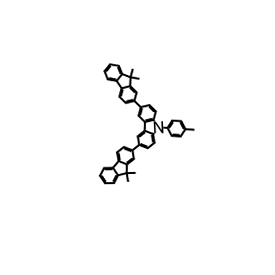 Cc1ccc(-n2c3ccc(-c4ccc5c(c4)C(C)(C)c4ccccc4-5)cc3c3cc(-c4ccc5c(c4)C(C)(C)c4ccccc4-5)ccc32)cc1